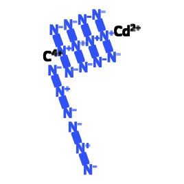 [C+4].[Cd+2].[N-]=[N+]=[N-].[N-]=[N+]=[N-].[N-]=[N+]=[N-].[N-]=[N+]=[N-].[N-]=[N+]=[N-].[N-]=[N+]=[N-]